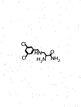 NC(=O)C(N)CNCc1cc(Cl)cc(Cl)c1